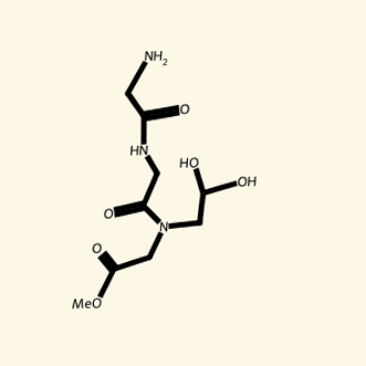 COC(=O)CN(CC(O)O)C(=O)CNC(=O)CN